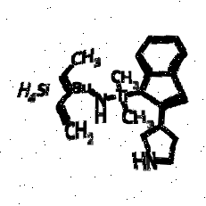 C=CC=CC.CC(C)(C)[NH][Ti]([CH3])([CH3])[CH]1C(C2CCNC2)=Cc2ccccc21.[SiH4]